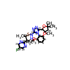 COc1cccc(OC)c1-n1c(NSC(C)C(C)c2ncc(F)cn2)nnc1C1CCC(C)(C)O1